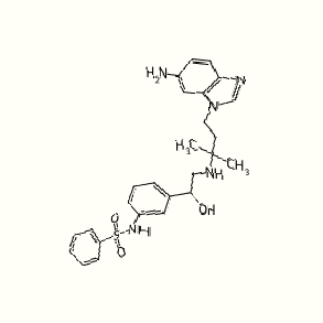 CC(C)(CCn1cnc2ccc(N)cc21)NCC(O)c1cccc(NS(=O)(=O)c2ccccc2)c1